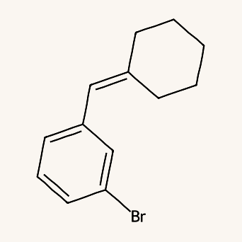 Brc1cccc(C=C2CCCCC2)c1